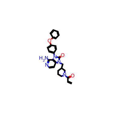 C=CC(=O)N1CCCC(Cn2c(=O)n(-c3ccc(Oc4ccccc4)cc3)c3c(N)nccc32)C1